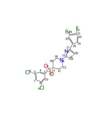 O=S(=O)(c1cc(Cl)cc(Cl)c1)C1CCN(c2nc(-c3ccc(F)c(F)c3)cs2)CC1